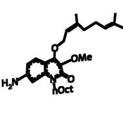 CCCCCCCCn1c(=O)c(OC)c(OCC=C(C)CCC=C(C)C)c2ccc(N)cc21